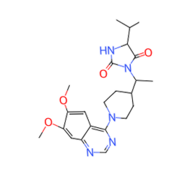 COc1cc2ncnc(N3CCC(C(C)N4C(=O)NC(C(C)C)C4=O)CC3)c2cc1OC